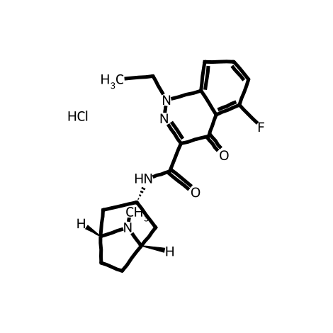 CCn1nc(C(=O)N[C@H]2C[C@H]3CC[C@@H](C2)N3C)c(=O)c2c(F)cccc21.Cl